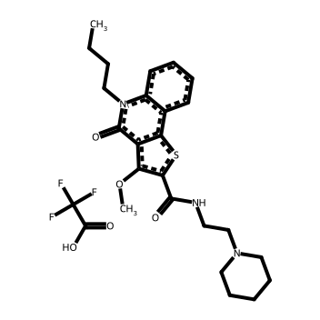 CCCCn1c(=O)c2c(OC)c(C(=O)NCCN3CCCCC3)sc2c2ccccc21.O=C(O)C(F)(F)F